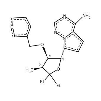 CCC1(CC)O[C@@H](c2ccc3c(N)ncnn23)[C@H](OCc2ccccc2)[C@@H]1C